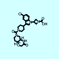 O=C1CO[C@H]2CCN(C(=O)N3CCC(c4cn(C5CN(C(=O)O)C5)c5ccc(Cl)cc45)CC3)C[C@H]2N1